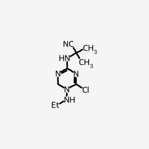 CCNN1CN=C(NC(C)(C)C#N)N=C1Cl